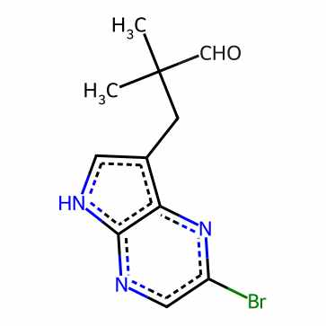 CC(C)(C=O)Cc1c[nH]c2ncc(Br)nc12